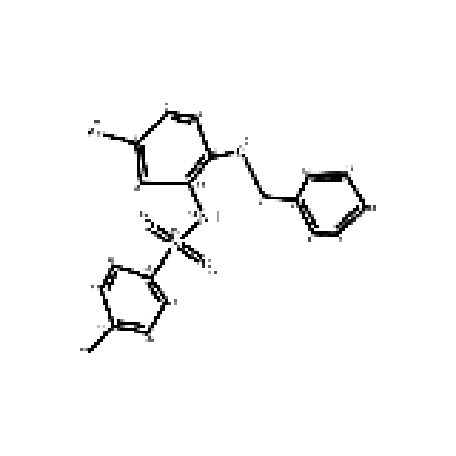 CC(=O)c1ccc(OCc2ccccc2)c(NS(=O)(=O)c2ccc(C)cc2)c1